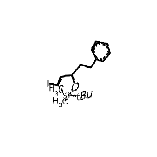 CC(C)(C)[Si](C)(C)OC(C=CI)CCc1ccccc1